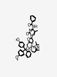 COc1ccc(C(OC[C@H]2O[C@@H](n3cc(C)c(NC(=O)c4ccccc4)nc3=O)C[C@@H]2P(OCCC#N)N(C(C)C)C(C)C)(c2ccccc2)c2ccc(OC)cc2)cc1